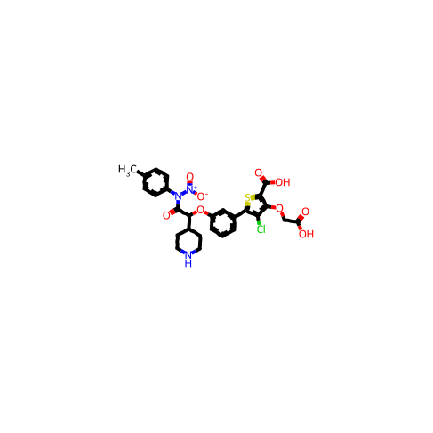 Cc1ccc(N(C(=O)C(Oc2cccc(-c3sc(C(=O)O)c(OCC(=O)O)c3Cl)c2)C2CCNCC2)[N+](=O)[O-])cc1